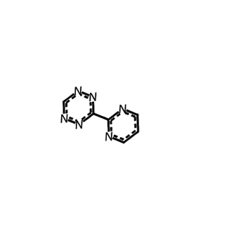 c1cnc(-c2nncnn2)nc1